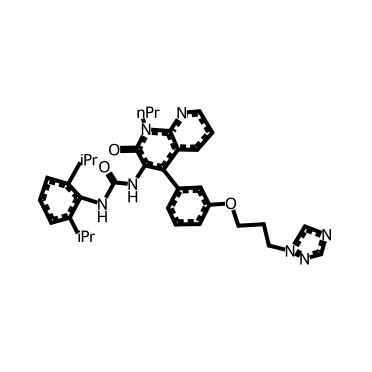 CCCn1c(=O)c(NC(=O)Nc2c(C(C)C)cccc2C(C)C)c(-c2cccc(OCCCn3cncn3)c2)c2cccnc21